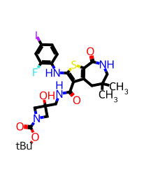 CC1(C)CNC(=O)c2sc(Nc3ccc(I)cc3F)c(C(=O)NCC3(O)CN(C(=O)OC(C)(C)C)C3)c2C1